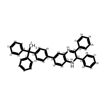 CC(c1ccccc1)(c1ccccc1)c1ccc(-c2ccc3c(c2)N=C(c2ccccc2)C(c2ccccc2)N3)cc1